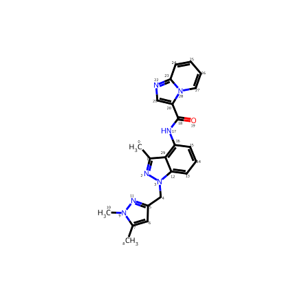 Cc1nn(Cc2cc(C)n(C)n2)c2cccc(NC(=O)c3cnc4ccccn34)c12